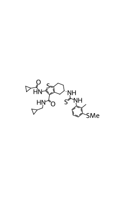 CSc1cccc(NC(=S)N[C@H]2CCc3sc(NC(=O)C4CC4)c(C(=O)NCC4CC4)c3C2)c1C